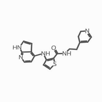 O=C(NCCC1=CC=NCC1)c1sccc1Nc1ccnc2[nH]ccc12